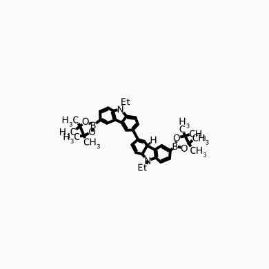 CCN1c2ccc(B3OC(C)(C)C(C)(C)O3)cc2[C@H]2C=C(c3ccc4c(c3)c3cc(B5OC(C)(C)C(C)(C)O5)ccc3n4CC)C=CC21